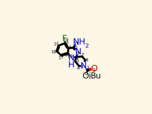 CC(C)COC(=O)N1CCC2(CC1)N=C(N)c1c(F)cccc1N2